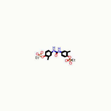 CCS(=O)(=O)Oc1ccc(NC(=O)Nc2ccc(OS(=O)(=O)CC)c(C)c2)cc1C